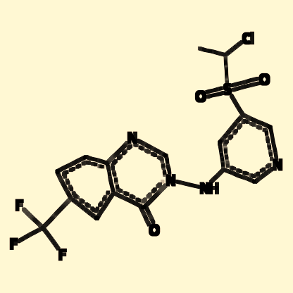 CC(Cl)S(=O)(=O)c1cncc(Nn2cnc3ccc(C(F)(F)F)cc3c2=O)c1